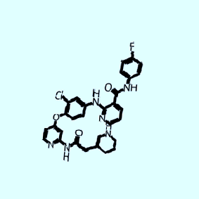 O=C(CC1CCCNC1)Nc1cc(Oc2ccc(Nc3ncccc3C(=O)Nc3ccc(F)cc3)cc2Cl)ccn1